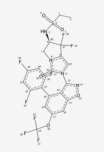 CCS(=O)(=O)N[C@@H]1Cn2c(cn(-c3noc4cc(OC(F)(F)F)cc(-c5c(F)cc(F)cc5F)c34)c2=O)C1(F)F